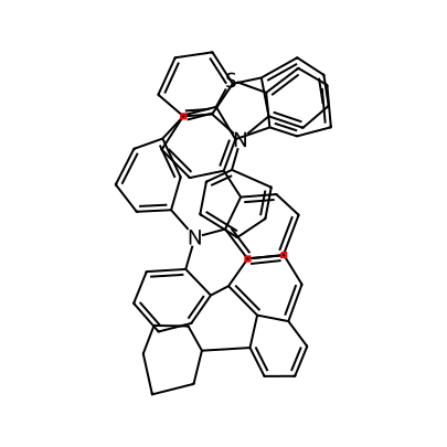 c1ccc(-n2c3ccccc3c3cccc(-c4cccc(N(c5ccccc5-c5cccc6cccc(C7CCCCC7)c56)c5ccccc5-c5cccc6sc7ccccc7c56)c4)c32)cc1